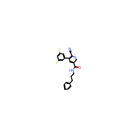 N#Cc1ncc(C(=O)NCCCc2ccccc2)cc1-c1cc(F)cc(F)c1